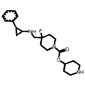 O=C(OC1CCNCC1)N1CCC(F)(CNC2CC2c2ccccc2)CC1